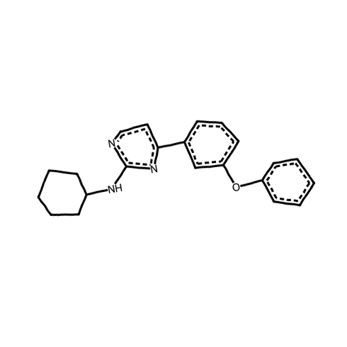 c1ccc(Oc2cccc(-c3ccnc(NC4CCCCC4)n3)c2)cc1